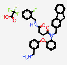 NCc1cccc(Oc2ccccc2N(Cc2ccc3c(c2)Cc2ccccc2-3)C(=O)CCC(=O)NCc2ccccc2F)c1.O=C(O)C(F)(F)F